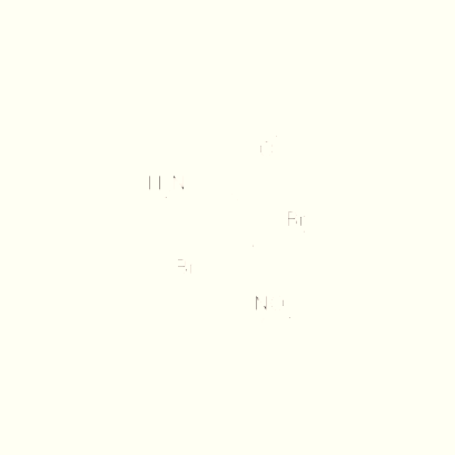 NC(=O)C(Br)(Br)[N+](=O)[O-]